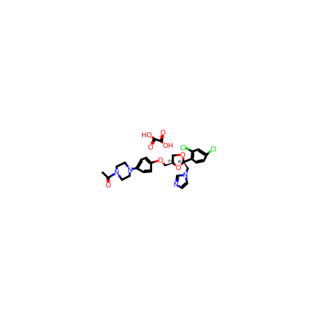 CC(=O)N1CCN(c2ccc(OC[C@H]3CO[C@](Cn4ccnc4)(c4ccc(Cl)cc4Cl)O3)cc2)CC1.O=C(O)C(=O)O